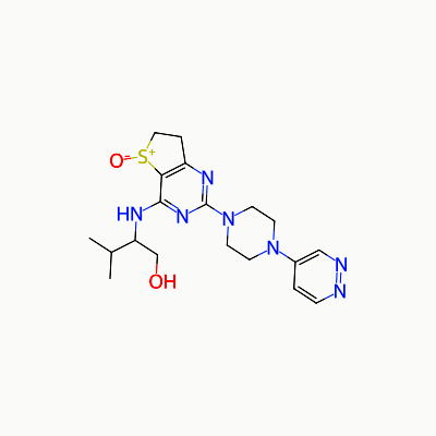 CC(C)C(CO)Nc1nc(N2CCN(c3ccnnc3)CC2)nc2c1[S+]([O-])CC2